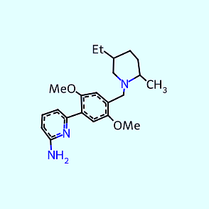 CCC1CCC(C)N(Cc2cc(OC)c(-c3cccc(N)n3)cc2OC)C1